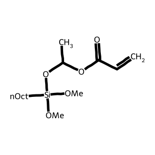 C=CC(=O)OC(C)O[Si](CCCCCCCC)(OC)OC